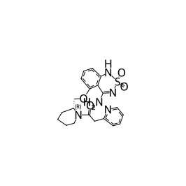 NC1=NS(=O)(=O)Nc2cccc(OC[C@H]3CCCCN3C(=O)Cc3ccccn3)c21